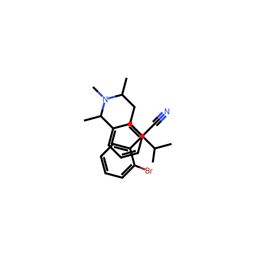 CC(CCC(C#N)(c1ccccc1Br)C(C)C)N(C)C(C)c1ccccc1